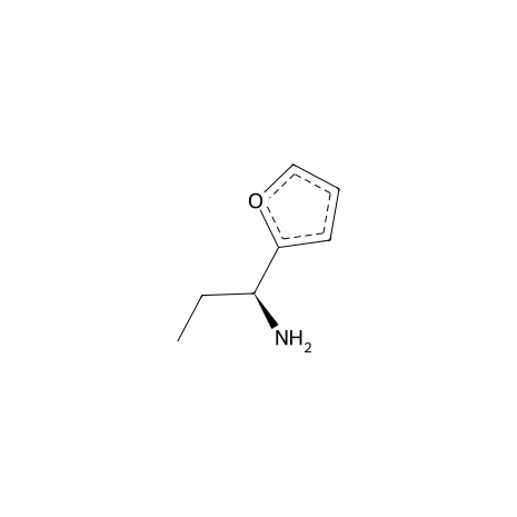 CC[C@H](N)c1ccco1